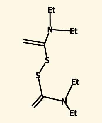 C=C(SSC(=C)N(CC)CC)N(CC)CC